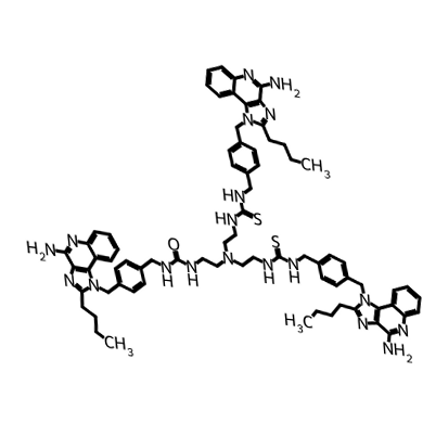 CCCCc1nc2c(N)nc3ccccc3c2n1Cc1ccc(CNC(=O)NCCN(CCNC(=S)NCc2ccc(Cn3c(CCCC)nc4c(N)nc5ccccc5c43)cc2)CCNC(=S)NCc2ccc(Cn3c(CCCC)nc4c(N)nc5ccccc5c43)cc2)cc1